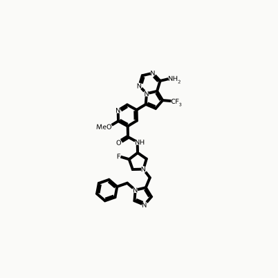 COc1ncc(-c2cc(C(F)(F)F)c3c(N)ncnn23)cc1C(=O)NC1CN(Cc2cncn2Cc2ccccc2)CC1F